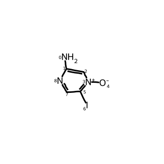 Nc1c[n+]([O-])c(I)cn1